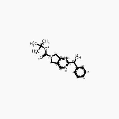 CC(C)(C)OC(=O)N1Cc2cnc(C(O)c3ccccc3)nc2C1